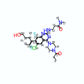 CCC(=O)N1CCN(c2nc(NCCC(=O)N(C)C)nc3c(F)c(/C(=C(/C)F)[C@@H](C)[C@H](C)CO)c(Cl)cc23)CC1